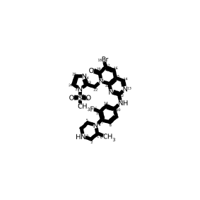 CC1CNCCN1c1ccc(Nc2ncc3cc(Br)c(=O)n(Cc4nccn4S(C)(=O)=O)c3n2)cc1F